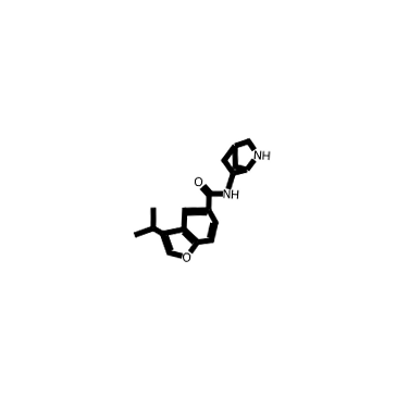 CC(C)c1coc2ccc(C(=O)NC3CC4CNC3C4)cc12